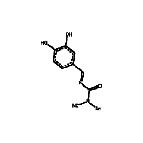 CC(=O)N(C#N)C(=O)N=Cc1ccc(O)c(O)c1